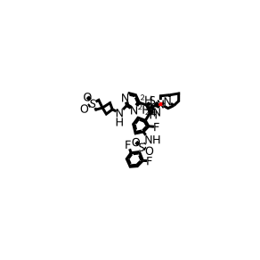 [2H]C([2H])([2H])N1CC2CCC(C1)N2c1nc(-c2cccc(NS(=O)(=O)c3c(F)cccc3F)c2F)c(-c2ccnc(NC3CC4(C3)CS(=O)(=O)C4)n2)s1